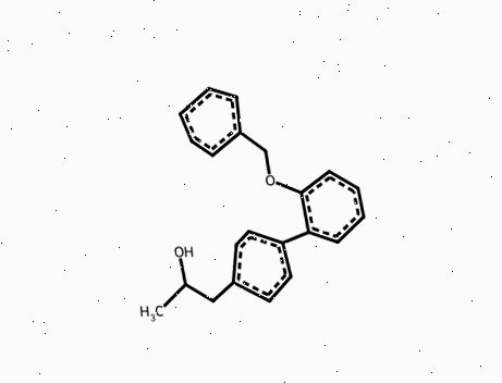 CC(O)Cc1ccc(-c2ccccc2OCc2ccccc2)cc1